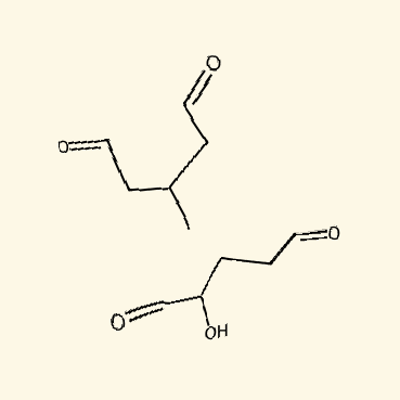 CC(CC=O)CC=O.O=CCCC(O)C=O